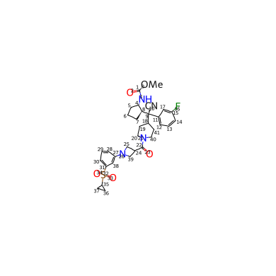 COC(=O)N[C@H]1CCC[C@@H]1[C@](C#N)(c1cccc(F)c1)C1CCN(C(=O)C2CN(c3cccc(S(=O)(=O)C4CC4)c3)C2)CC1